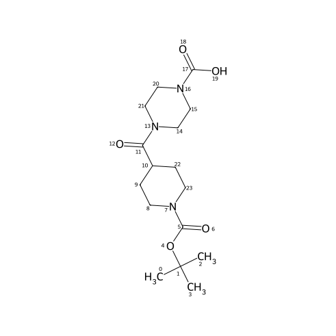 CC(C)(C)OC(=O)N1CCC(C(=O)N2CCN(C(=O)O)CC2)CC1